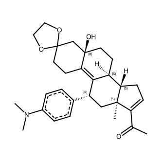 CC(=O)C1=CC[C@H]2[C@@H]3CC[C@@]4(O)CC5(CCC4=C3[C@@H](c3ccc(N(C)C)cc3)C[C@]12C)OCCO5